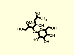 COC(CO)C(OC1OC(CO)C(O)C(O)C1O)[C@@H](O)CC(C)N=O